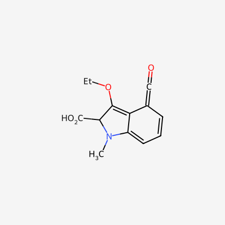 CCOC1=c2c(cccc2=C=O)N(C)C1C(=O)O